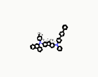 Cc1ccc(N(c2ccc3c(c2)C(C)(C)c2cc(N(c4ccccc4)c4ccc(-c5ccc(-c6ccccc6)cc5)cc4)ccc2-3)c2cc3ccccc3c3ccccc23)cc1